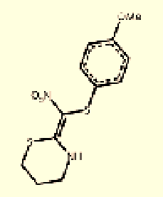 COc1ccc(S/C(=C2\NCCCS2)[N+](=O)[O-])cc1